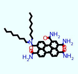 CCCCCCCCN(CCCCCCCC)C(=O)c1ccc2c3c(C(N)=O)cc(C(N)=O)c4c(C(N)=O)ccc(c5ccc(C(N)=O)c1c52)c43